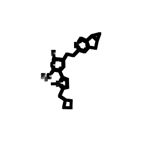 Cn1c(CC2CCC2)ccc1-c1cc(CCc2cc3c(cn2)C2CC2C3)c(F)cc1C(F)(F)F